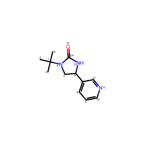 CC(C)(C)N1CC(c2cccnc2)NC1=O